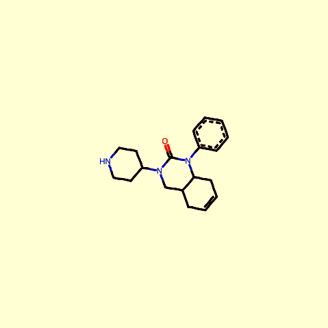 O=C1N(C2CCNCC2)CC2CC=CCC2N1c1ccccc1